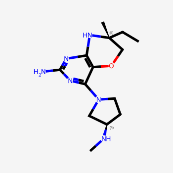 CC[C@]1(C)COc2c(nc(N)nc2N2CC[C@@H](NC)C2)N1